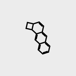 C1=CC2CCC2c2cc3ccccc3cc21